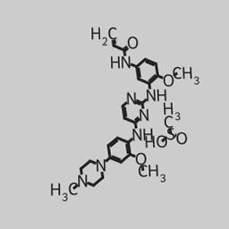 C=CC(=O)Nc1ccc(OC)c(Nc2nccc(Nc3ccc(N4CCN(C)CC4)cc3OC)n2)c1.CS(=O)O